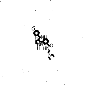 CCN(CC)CCNC(=O)c1ccc2c(c1)[C@H]1NCC[C@H]1C(c1ccc(OC)cc1)N2